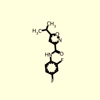 CC(C)c1cc(C(=O)Nc2ccc(F)cc2F)no1